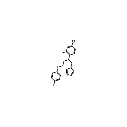 Fc1ccc(OCCC(Cn2ccnc2)c2ccc(Cl)cc2F)cc1